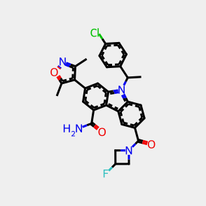 Cc1noc(C)c1-c1cc(C(N)=O)c2c3cc(C(=O)N4CC(F)C4)ccc3n(C(C)c3ccc(Cl)cc3)c2c1